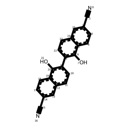 N#Cc1ccc2c(O)c(-c3ccc4cc(C#N)ccc4c3O)ccc2c1